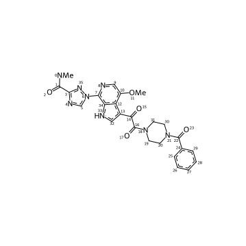 CNC(=O)c1ncn(-c2ncc(OC)c3c(C(=O)C(=O)N4CCN(C(=O)c5ccccc5)CC4)c[nH]c23)n1